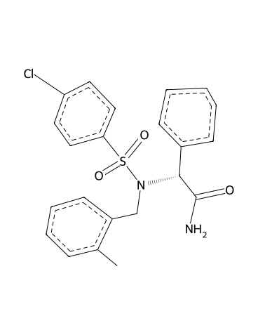 Cc1ccccc1CN([C@@H](C(N)=O)c1ccccc1)S(=O)(=O)c1ccc(Cl)cc1